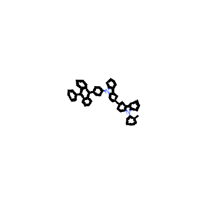 Cc1ccccc1-n1c2ccccc2c2cc(-c3ccc4c(c3)c3ccccc3n4-c3ccc(-c4c5ccccc5c(-c5ccccc5)c5ccccc45)cc3)ccc21